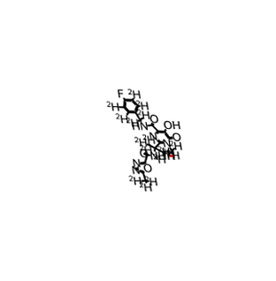 [2H]c1c([2H])c(C([2H])([2H])NC(=O)c2nc(C(NC(=O)c3nnc(C([2H])([2H])[2H])o3)(C([2H])([2H])[2H])C([2H])([2H])[2H])n(C([2H])([2H])[2H])c(=O)c2O)c([2H])c([2H])c1F